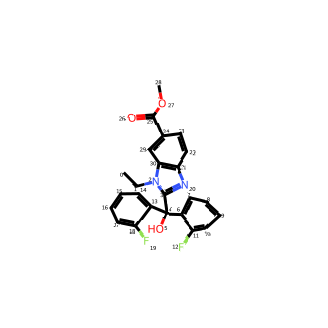 CCn1c(C(O)(c2ccccc2F)c2ccccc2F)nc2ccc(C(=O)OC)cc21